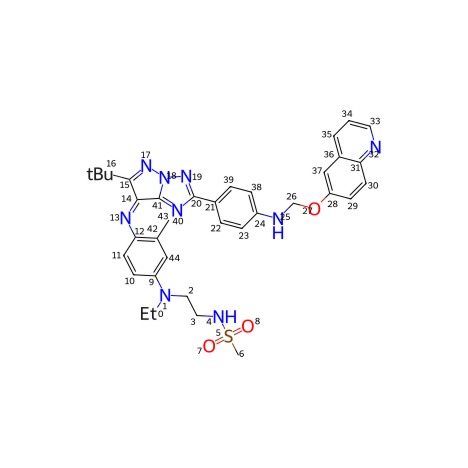 CCN(CCNS(C)(=O)=O)c1ccc(/N=C2/C(C(C)(C)C)=Nn3nc(-c4ccc(NCOc5ccc6ncccc6c5)cc4)nc32)c(C)c1